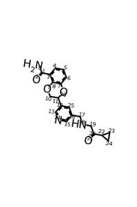 NC(=O)c1cccc2c1OCC(c1cncc(CNCC(=O)C3CC3)c1)O2